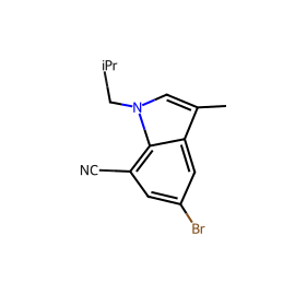 Cc1cn(CC(C)C)c2c(C#N)cc(Br)cc12